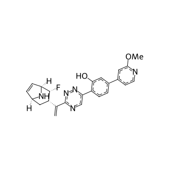 C=C(c1ncc(-c2ccc(-c3ccnc(OC)c3)cc2O)nn1)[C@@H]1C[C@H]2C=C[C@H](N2)[C@@H]1F